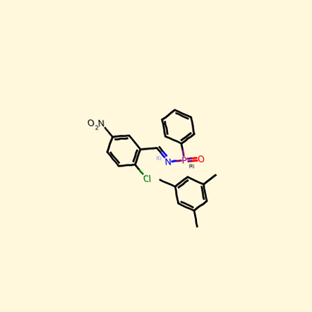 Cc1cc(C)c([P@@](=O)(/N=C/c2cc([N+](=O)[O-])ccc2Cl)c2ccccc2)c(C)c1